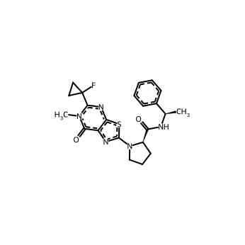 C[C@@H](NC(=O)[C@H]1CCCN1c1nc2c(=O)n(C)c(C3(F)CC3)nc2s1)c1ccccc1